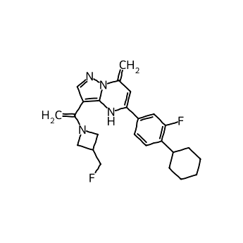 C=C(c1cnn2c1NC(c1ccc(C3CCCCC3)c(F)c1)=CC2=C)N1CC(CF)C1